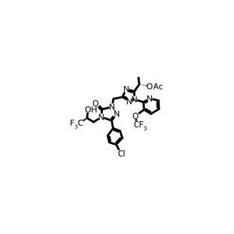 CC(=O)O[C@@H](C)c1nc(Cn2nc(-c3ccc(Cl)cc3)n(C[C@H](O)C(F)(F)F)c2=O)nn1-c1ncccc1OC(F)(F)F